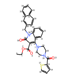 CCOC(=O)c1c(N2CCN(C(=O)c3cccs3)CC2)c2ccccc2n(Cc2ccc3ccccc3c2)c1=O